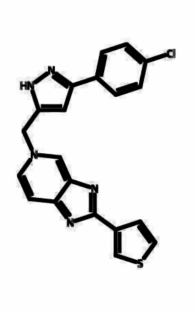 Clc1ccc(-c2cc(Cn3ccc4nc(-c5ccsc5)nc-4c3)[nH]n2)cc1